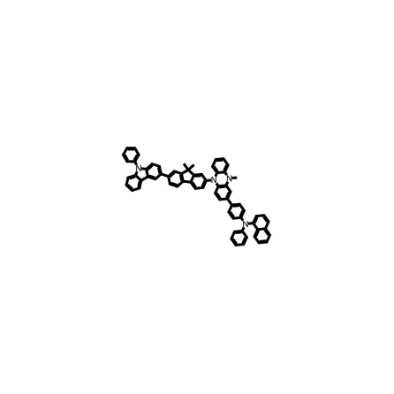 CN1c2ccccc2N(c2ccc3c(c2)C(C)(C)c2cc(-c4ccc5c(c4)c4ccccc4n5-c4ccccc4)ccc2-3)c2ccc(-c3ccc(N(c4ccccc4)c4cccc5ccccc45)cc3)cc21